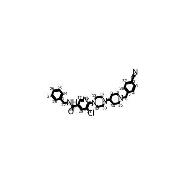 N#Cc1ccc(CN2CCC(N3CCN(c4ncc(C(=O)NCc5ccccc5)cc4Cl)CC3)CC2)cc1